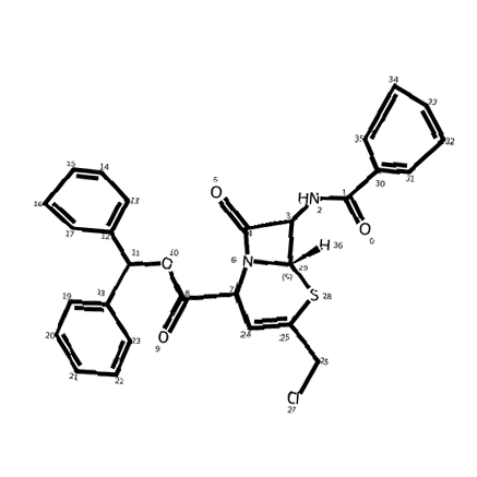 O=C(NC1C(=O)N2C(C(=O)OC(c3ccccc3)c3ccccc3)C=C(CCl)S[C@@H]12)c1ccccc1